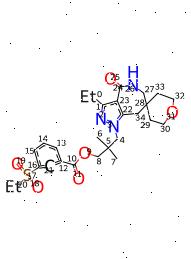 CCc1nn(CC(C)(C)COC(=O)c2cccc(S(=O)(=O)CC)c2)c2c1C(=O)NCC1(CCOCC1)C2